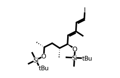 CC(/C=C/I)=C\[C@@H](O[Si](C)(C)C(C)(C)C)[C@H](C)C[C@@H](C)O[Si](C)(C)C(C)(C)C